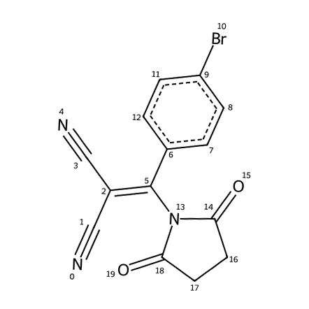 N#CC(C#N)=C(c1ccc(Br)cc1)N1C(=O)CCC1=O